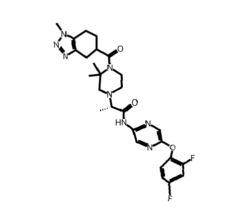 C[C@@H](C(=O)Nc1cnc(Oc2ccc(F)cc2F)cn1)N1CCN(C(=O)C2CCc3c(nnn3C)C2)C(C)(C)C1